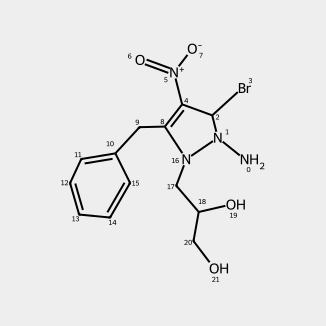 NN1C(Br)C([N+](=O)[O-])=C(Cc2ccccc2)N1CC(O)CO